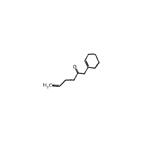 C=CCCC(=O)CC1=CCCCC1